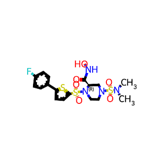 CN(C)S(=O)(=O)N1CCN(S(=O)(=O)c2ccc(-c3ccc(F)cc3)s2)[C@@H](C(=O)NO)C1